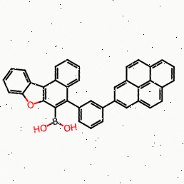 OB(O)c1c(-c2cccc(-c3cc4ccc5cccc6ccc(c3)c4c56)c2)c2ccccc2c2c1oc1ccccc12